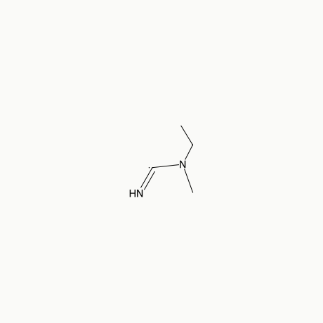 CCN(C)[C]=N